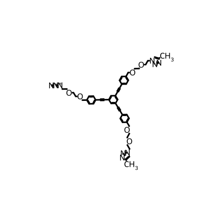 Cc1cn(CCOCCOCc2ccc(C#Cc3cc(C#Cc4ccc(COCCOCCN=[N+]=[N-])cc4)cc(C#Cc4ccc(COCCOCCn5cc(C)nn5)cc4)c3)cc2)nn1